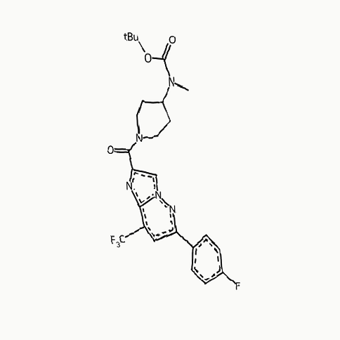 CN(C(=O)OC(C)(C)C)C1CCN(C(=O)c2cn3nc(-c4ccc(F)cc4)cc(C(F)(F)F)c3n2)CC1